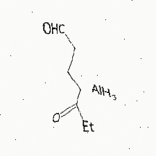 CCC(=O)CCCC=O.[AlH3]